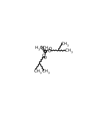 CCCCCCC(CCCCCC)CCCCCC(=O)OCc1cc(COC(=O)CCCCCC(CCCCCC)CCCCCC)cc(CN(C)C)c1